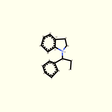 [CH2]CC(c1ccccc1)N1CCc2ccccc21